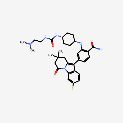 CN(C)CCNC(=O)N[C@H]1CC[C@H](Nc2cc(-c3c4n(c5cc(F)ccc35)C(=O)CC(C)(C)C4)ccc2C(N)=O)CC1